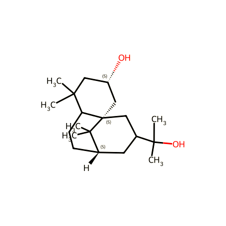 CC(C)(O)C1C[C@@H]2CCC3C(C)(C)C[C@H](O)C[C@]3(C1)C2(C)C